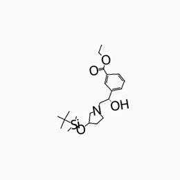 CCOC(=O)c1cccc([C@H](O)CN2CCC(O[Si](C)(C)C(C)(C)C)C2)c1